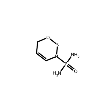 NP(N)(=O)N1C=CCOS1